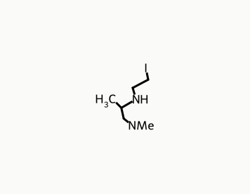 CNCC(C)NCCI